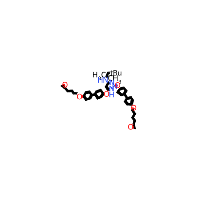 CC(C)(C)CC(C)(C)NC1=NN(Oc2ccc(-c3ccc(OCCCCC4CO4)cc3)cc2)NC(Oc2ccc(-c3ccc(OCCCCC4CO4)cc3)cc2)=C1